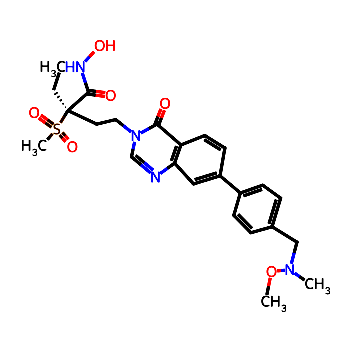 CC[C@@](CCn1cnc2cc(-c3ccc(CN(C)OC)cc3)ccc2c1=O)(C(=O)NO)S(C)(=O)=O